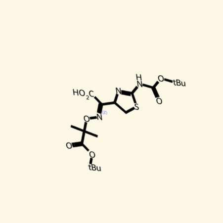 CC(C)(C)OC(=O)NC1=NC(/C(=N/OC(C)(C)C(=O)OC(C)(C)C)C(=O)O)CS1